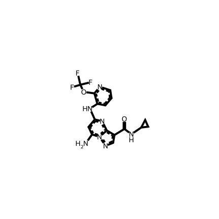 Nc1cc(Nc2cccnc2OC(F)(F)F)nc2c(C(=O)NC3CC3)cnn12